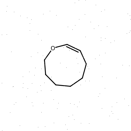 C1=COCCCCCC1